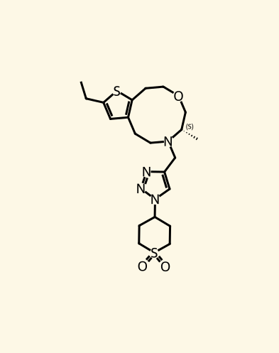 CCc1cc2c(s1)CCOC[C@H](C)N(Cc1cn(C3CCS(=O)(=O)CC3)nn1)CC2